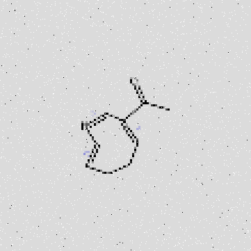 CC(=O)C1=C/CC/C=C/N=C\1